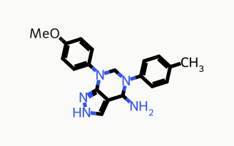 COc1ccc(N2CN(c3ccc(C)cc3)C(N)c3c[nH]nc32)cc1